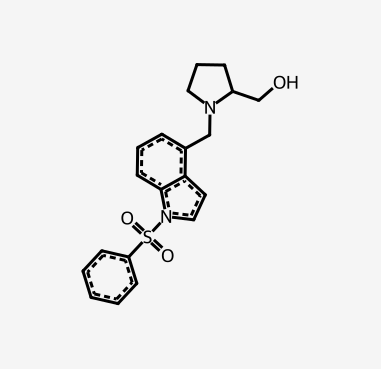 O=S(=O)(c1ccccc1)n1ccc2c(CN3CCCC3CO)cccc21